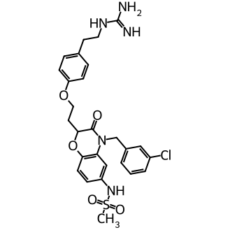 CS(=O)(=O)Nc1ccc2c(c1)N(Cc1cccc(Cl)c1)C(=O)C(CCOc1ccc(CCNC(=N)N)cc1)O2